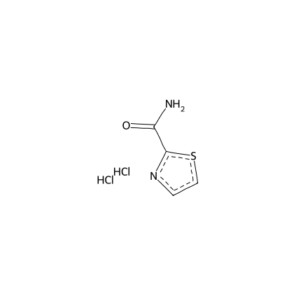 Cl.Cl.NC(=O)c1nccs1